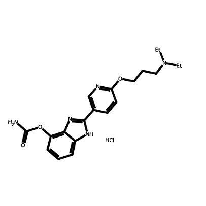 CCN(CC)CCCOc1ccc(-c2nc3c(OC(N)=O)cccc3[nH]2)cn1.Cl